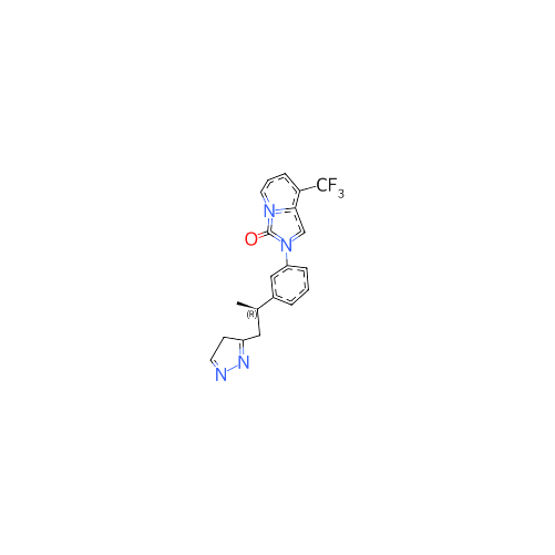 C[C@H](CC1=NN=CC1)c1cccc(-n2cc3c(C(F)(F)F)cccn3c2=O)c1